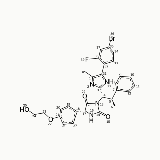 Cc1nc([C@H]([C@H](C)c2ccccc2)N2C(=O)N[C@H](c3ccc(OCCO)cc3)C2=O)[nH]c1-c1ccc(Br)cc1F